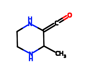 CC1NCCNC1=C=O